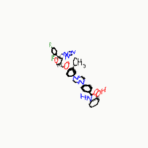 Cc1cc(N2CCN(c3ccc(C(=O)N[C@@H]4CCCC[C@H]4O)cc3)CC2)ccc1OC[C@@H]1CO[C@@](Cn2cncn2)(c2ccc(F)cc2F)C1